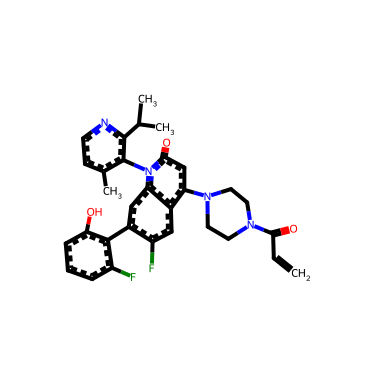 C=CC(=O)N1CCN(c2cc(=O)n(-c3c(C)ccnc3C(C)C)c3cc(-c4c(O)cccc4F)c(F)cc23)CC1